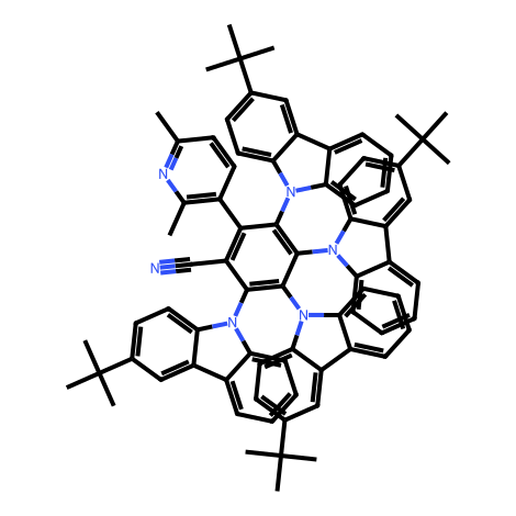 Cc1ccc(-c2c(C#N)c(-n3c4ccccc4c4cc(C(C)(C)C)ccc43)c(-n3c4ccccc4c4cc(C(C)(C)C)ccc43)c(-n3c4ccccc4c4cc(C(C)(C)C)ccc43)c2-n2c3ccccc3c3cc(C(C)(C)C)ccc32)c(C)n1